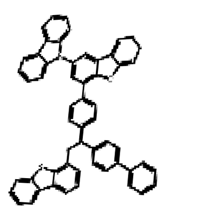 C1=c2oc3c(-c4ccc(C(Cc5cccc6c5sc5ccccc56)c5ccc(-c6ccccc6)cc5)cc4)cc(-n4c5ccccc5c5ccccc54)cc3c2=CCC1